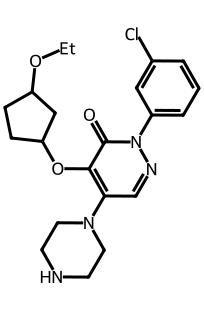 CCOC1CCC(Oc2c(N3CCNCC3)cnn(-c3cccc(Cl)c3)c2=O)C1